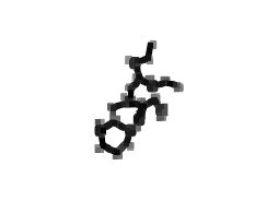 CCOC(CN(CC1OCCCO1)C(=O)CCl)OCC